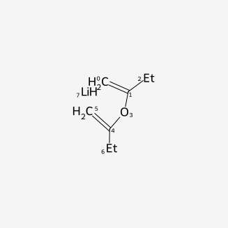 C=C(CC)OC(=C)CC.[LiH]